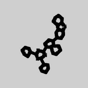 c1ccc(-c2nc(-c3ccccc3)nc(-c3ccc(-c4ccc5sc6ccccc6c5c4)c4ccccc34)n2)cc1